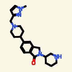 Cn1ccc(CN2CCC(c3ccc4c(c3)CN(C3CCCNC3)C4=O)CC2)n1